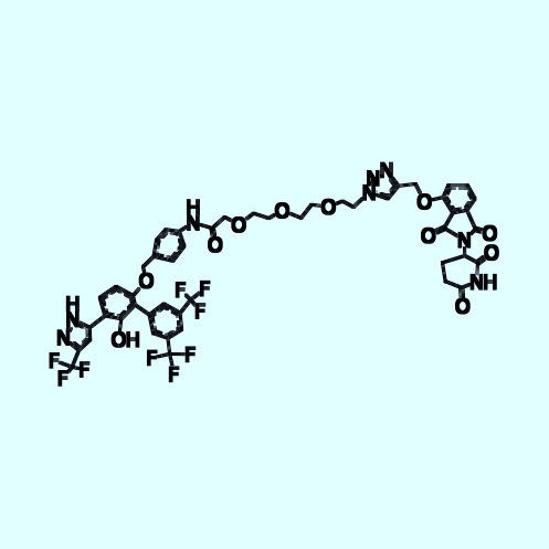 O=C1CCC(N2C(=O)c3cccc(OCc4cn(CCOCCOCCOCC(=O)Nc5ccc(COc6ccc(-c7cc(C(F)(F)F)n[nH]7)c(O)c6-c6cc(C(F)(F)F)cc(C(F)(F)F)c6)cc5)nn4)c3C2=O)C(=O)N1